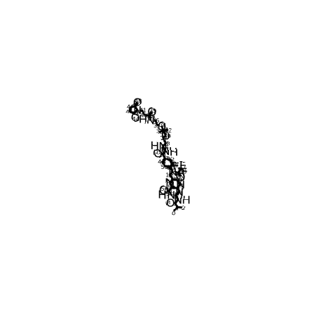 CC(C)C(=O)Nc1nc2ncc(CN(C(=O)C(F)(F)F)c3ccc(C(=O)NNCCOC(C)(C)OCCNC(=O)CCN4C(=O)C=CC4=O)cc3)nc2c(=O)[nH]1